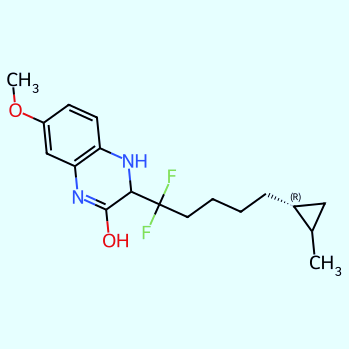 COc1ccc2c(c1)N=C(O)C(C(F)(F)CCCC[C@@H]1CC1C)N2